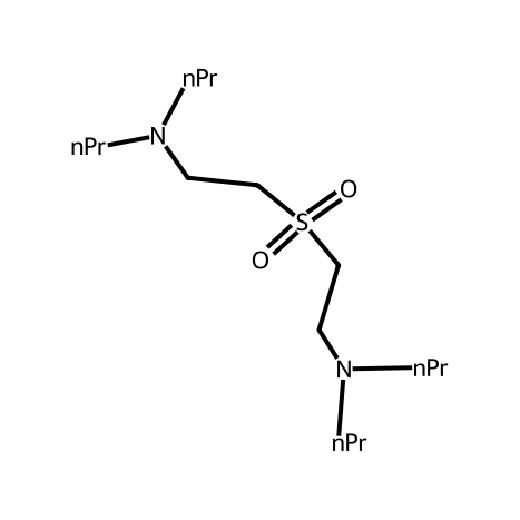 CCCN(CCC)CCS(=O)(=O)CCN(CCC)CCC